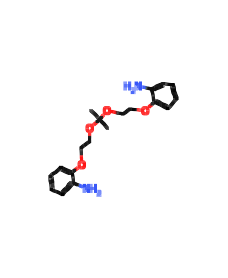 CC(C)(OCCOc1ccccc1N)OCCOc1ccccc1N